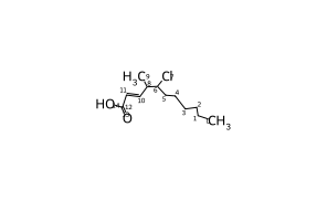 CCCCCCC(Cl)C(C)C=CC(=O)O